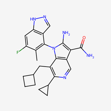 Cc1c(F)cc2[nH]ncc2c1-n1c(N)c(C(N)=O)c2cnc(C3CC3)c(CC3CCC3)c21